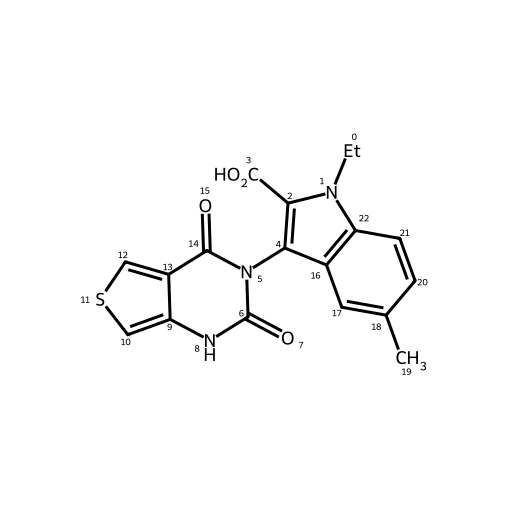 CCn1c(C(=O)O)c(-n2c(=O)[nH]c3cscc3c2=O)c2cc(C)ccc21